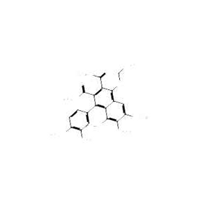 COCOc1c(C(=O)OC)c(C(=O)OC)c(-c2ccc(OC)c(OC)c2)c2c(OC)c(OC)c(OC)cc12